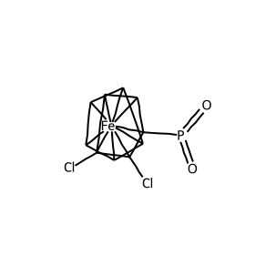 O=P(=O)[C]12[CH]3[CH]4[C]5(Cl)[C]1(Cl)[Fe]43521678[CH]2[CH]1[CH]6[CH]7[CH]28